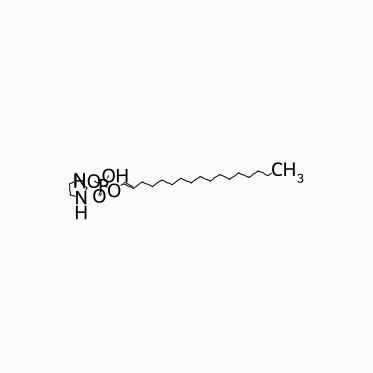 C1=NCCN1.CCCCCCCCCCCCCCCC=COP(=O)(O)O